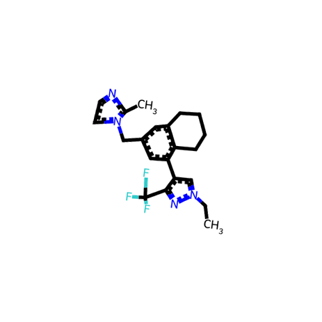 CCn1cc(-c2cc(Cn3ccnc3C)cc3c2CCCC3)c(C(F)(F)F)n1